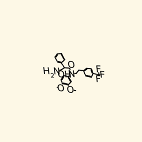 COc1ccc(N(CCc2ccc(C(F)(F)F)cc2)C(=O)C(c2ccccc2)C(N)O)cc1OC